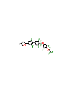 CC1CCC(c2cc(F)c(-c3cc(F)c(C(F)(F)Oc4cc(F)c(OC(F)C(F)F)c(F)c4)c(F)c3)c(F)c2)OC1